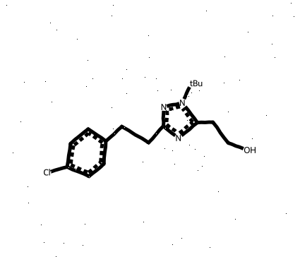 CC(C)(C)n1nc(CCc2ccc(Cl)cc2)nc1CCO